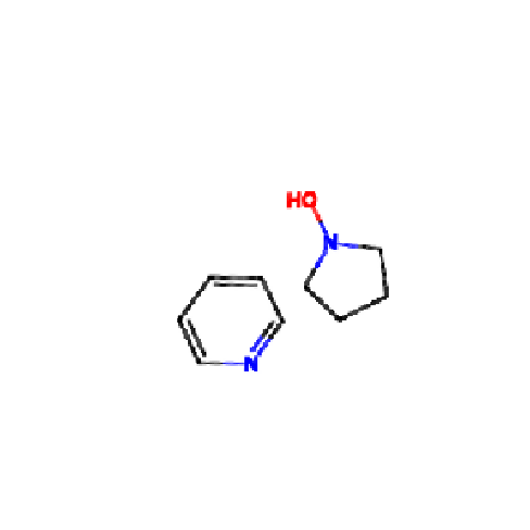 ON1CCCC1.c1ccncc1